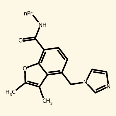 CCCNC(=O)c1ccc(Cn2ccnc2)c2c(C)c(C)oc12